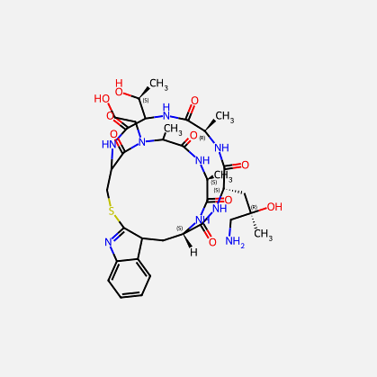 CC1C(=O)N[C@@H](C)C(=O)N[C@H]2CC3C(=Nc4ccccc43)SCC(NC(=O)C([C@H](C)O)NC(=O)[C@@H](C)NC(=O)[C@H](C[C@@](C)(O)CN)NC2=O)C(=O)N1CCO